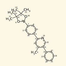 Cc1cc(-c2ccc(B3OC(C)(C)C(C)(C)O3)cc2)ncc1-c1ccccc1